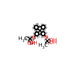 CCC(CO)(CO)COc1ccc(C2(c3ccc(OCC(CC)(CO)CO)cc3)c3ccccc3-c3ccccc32)cc1